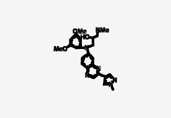 CNCC(O)CN(c1cc(OC)cc(OC)c1)c1ccc2ncc(-c3cnn(C)c3)nc2c1